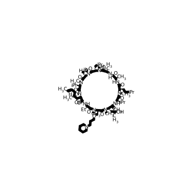 C/C=C/C[C@@H](C)[C@@H](O)[C@H]1C(=O)N[C@@H](CC)C(=O)N(C)[C@H](COCCCN2CCCCC2)C(=O)N(C)[C@@H](CC(C)(C)O)C(=O)N[C@H](C(C)C)C(=O)N(C)[C@H](CCC(C)C)C(=O)N[C@H](C)C(=O)N[C@@H](C)C(=O)N(C)[C@@H](CC(C)C)C(=O)N(C)[C@@H](CC(C)C)C(=O)N(C)[C@H](C(C)C)C(=O)N1C